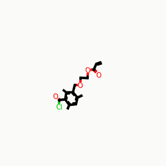 C=CC(=O)OCCOCc1c(C)cc(C)c(C(=O)Cl)c1C